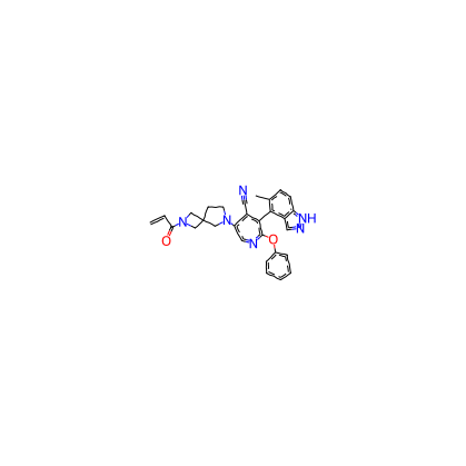 C=CC(=O)N1CC2(CCN(c3cnc(Oc4ccccc4)c(-c4c(C)ccc5[nH]ncc45)c3C#N)C2)C1